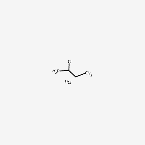 CCC(P)Cl.Cl